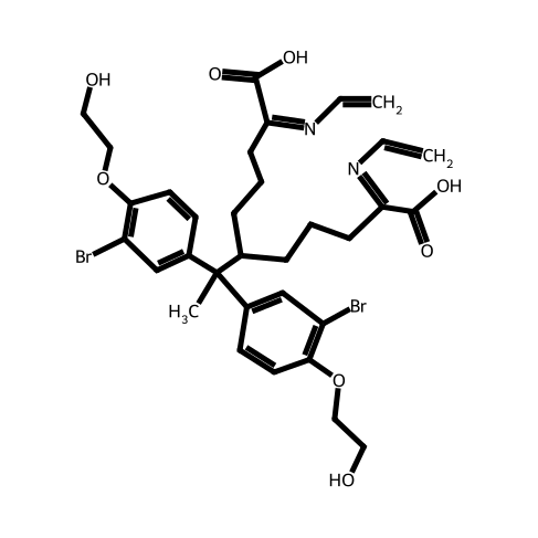 C=CN=C(CCCC(CCCC(=NC=C)C(=O)O)C(C)(c1ccc(OCCO)c(Br)c1)c1ccc(OCCO)c(Br)c1)C(=O)O